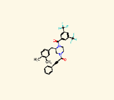 Cc1ccc(CC2CN(C(=O)C#Cc3ccccc3)CCN2C(=O)c2cc(C(F)(F)F)cc(C(F)(F)F)c2)cc1C